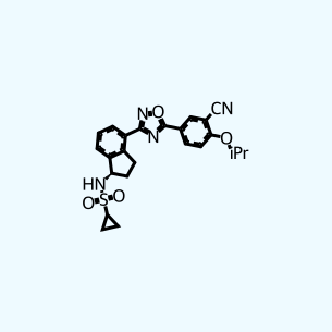 CC(C)Oc1ccc(-c2nc(-c3cccc4c3CC[C@H]4NS(=O)(=O)C3CC3)no2)cc1C#N